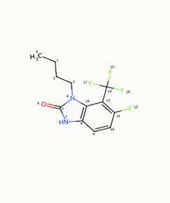 CCCCn1c(=O)[nH]c2ccc(F)c(C(F)(F)F)c21